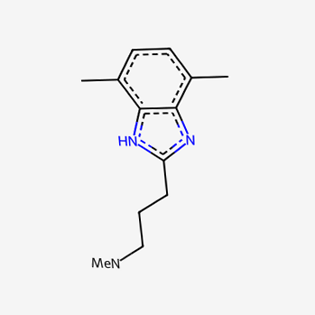 CNCCCc1nc2c(C)ccc(C)c2[nH]1